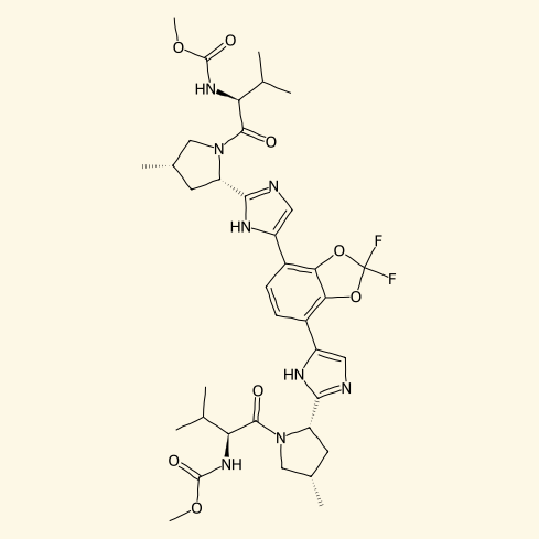 COC(=O)N[C@H](C(=O)N1C[C@@H](C)C[C@H]1c1ncc(-c2ccc(-c3cnc([C@@H]4C[C@H](C)CN4C(=O)[C@@H](NC(=O)OC)C(C)C)[nH]3)c3c2OC(F)(F)O3)[nH]1)C(C)C